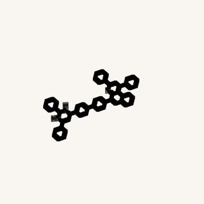 C1=C(c2ccccc2)NC(c2ccccc2)NC1c1ccc(-c2ccc(-c3cc4ccccc4c4c(-c5ccccc5)cc(-c5ccccc5)nc34)cc2)cc1